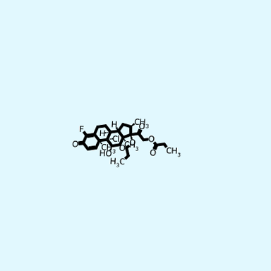 CCC(=O)OCC(=O)[C@@]1(OC(=O)CC)[C@H](C)C[C@H]2[C@@H]3CCC4=C(F)C(=O)C=C[C@]4(C)[C@]3(Cl)[C@@H](O)C[C@@]21C